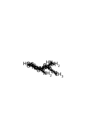 COCCOCCOCC(=O)N[C@H](CCCNC(=N)N)C(=O)NCC(=O)N[C@@H](CCCCN)C(=O)Nc1ccc2nc(C3=N[C@@H](C(=O)O)CS3)sc2c1